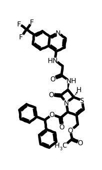 CC(=O)OCC1=CS[C@@H]2[C@H](NC(=O)CNc3ccnc4cc(C(F)(F)F)ccc34)C(=O)N2C1C(=O)OC(c1ccccc1)c1ccccc1